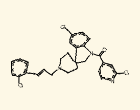 O=C(c1ccnc(Cl)c1)N1CC2(CCN(C/C=C/c3ccccc3Cl)CC2)c2cc(Cl)ccc21